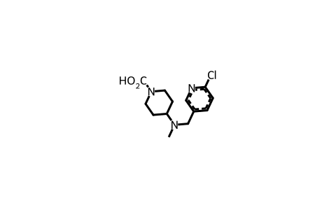 CN(Cc1ccc(Cl)nc1)C1CCN(C(=O)O)CC1